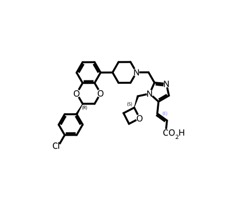 O=C(O)/C=C/c1cnc(CN2CCC(c3cccc4c3OC[C@@H](c3ccc(Cl)cc3)O4)CC2)n1C[C@@H]1CCO1